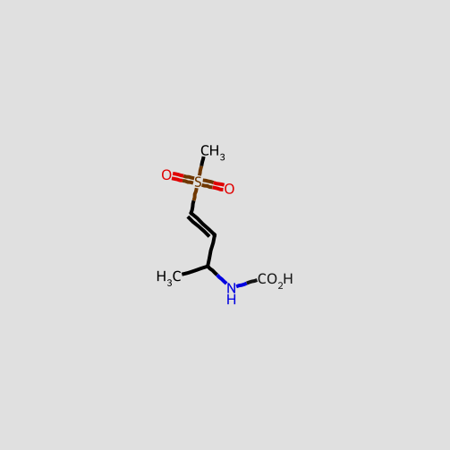 CC(C=CS(C)(=O)=O)NC(=O)O